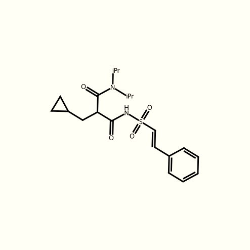 CC(C)N(C(=O)C(CC1CC1)C(=O)NS(=O)(=O)C=Cc1ccccc1)C(C)C